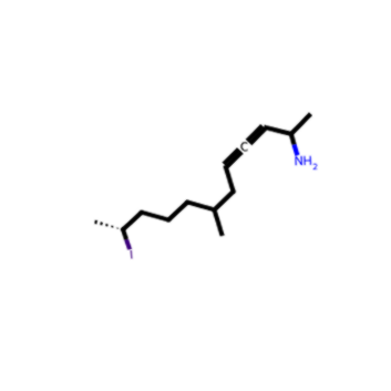 CC(N)C=C=CCC(C)CCC[C@@H](C)I